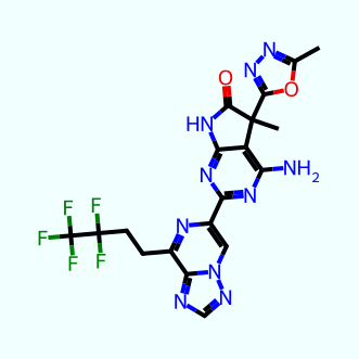 Cc1nnc(C2(C)C(=O)Nc3nc(-c4cn5ncnc5c(CCC(F)(F)C(F)(F)F)n4)nc(N)c32)o1